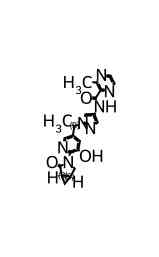 Cc1nccnc1C(=O)Nc1cnn([C@H](C)c2cnc(N3C[C@H]4C[C@H]4C3=O)c(O)c2)c1